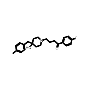 Cc1ccc(CC2(O)CCN(CCCC(=O)c3ccc(F)cc3)CC2)cc1